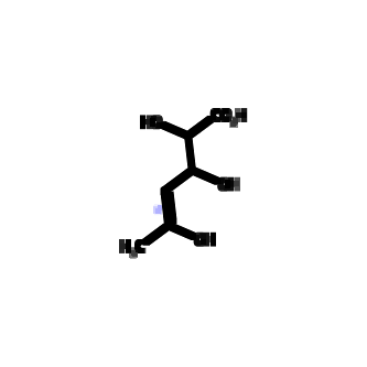 C/C(O)=C/C(O)C(O)C(=O)O